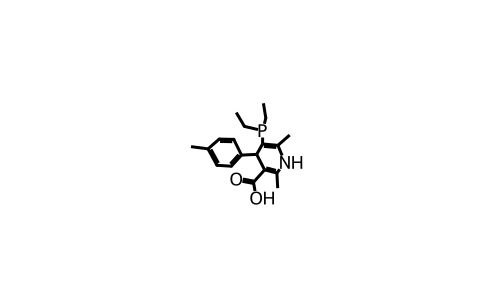 CCP(CC)C1=C(C)NC(C)=C(C(=O)O)C1c1ccc(C)cc1